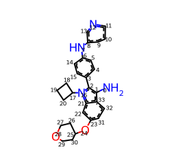 Nc1c(-c2ccc(Nc3cccnc3)cc2)n(C2CCC2)c2cc(OC3CCOCC3)ccc12